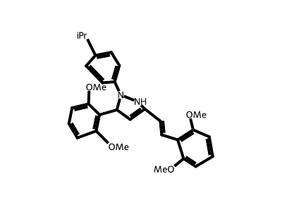 COc1cccc(OC)c1C=CC1=CC(c2c(OC)cccc2OC)N(c2ccc(C(C)C)cc2)N1